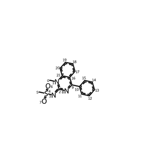 Cn1c(=NS(C)(=O)=O)nc(-c2ccccc2)c2ccccc21